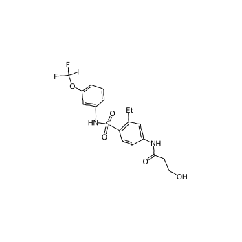 CCc1cc(NC(=O)CCO)ccc1S(=O)(=O)Nc1cccc(OC(F)(F)I)c1